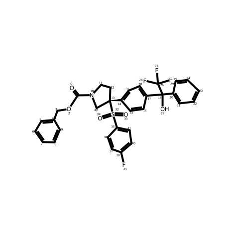 O=C(OCc1ccccc1)N1CC[C@](c2ccc(C(O)(c3ccccc3)C(F)(F)F)cc2)(S(=O)(=O)c2ccc(F)cc2)C1